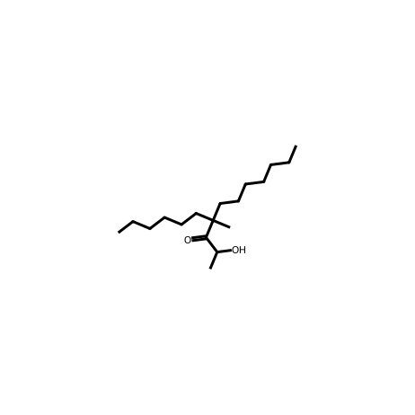 CCCCCCCC(C)(CCCCCC)C(=O)C(C)O